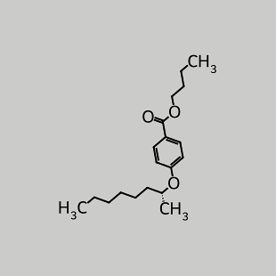 CCCCCC[C@@H](C)Oc1ccc(C(=O)OCCCC)cc1